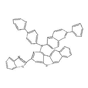 c1ccc(-c2ccc(N(c3ccc4cc(-c5ccccc5)ccc4c3)c3cc(-c4nc5ccccc5s4)cc4sc5cc6ccccc6cc5c34)cc2)cc1